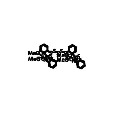 CO[Si](OC)(OC)C1(c2nc3ccccc3s2)C=CC=CC1SSSSSC1C=CC=CC1(c1nc2ccccc2s1)[Si](OC)(OC)OC